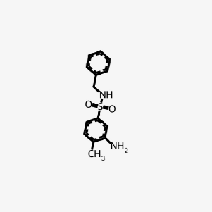 Cc1ccc(S(=O)(=O)NCc2ccccc2)cc1N